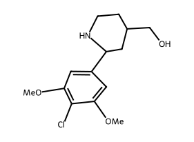 COc1cc(C2CC(CO)CCN2)cc(OC)c1Cl